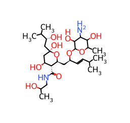 CC(C)/C=C/[C@@H](C[C@@H]1O[C@](O)(C[C@@H](O)C(C)C)C[C@H](O)[C@H]1C(=O)NCC(C)O)OC1OC(C)C(O)C(N)C1O